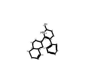 CC(C)C1CCC(c2ccccc2)=C(C2CCC3CCC=CC3C2)N1